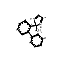 CC1(c2ccccc2-c2ccccc2)N=CC=N1